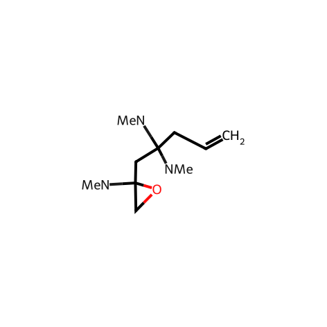 C=CCC(CC1(NC)CO1)(NC)NC